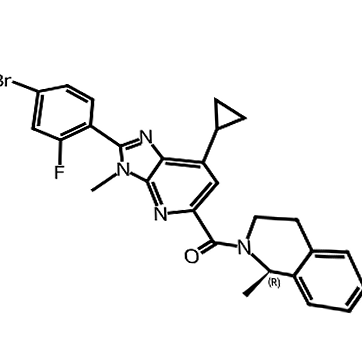 C[C@@H]1c2ccccc2CCN1C(=O)c1cc(C2CC2)c2nc(-c3ccc(Br)cc3F)n(C)c2n1